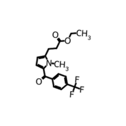 CCOC(=O)CCc1ccc(C(=O)c2ccc(C(F)(F)F)cc2)n1C